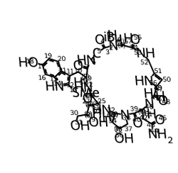 CC[C@H](C)[C@@H]1NC(=O)CNC(=O)[C@@H](Cc2c(SC)[nH]c3cc(O)ccc23)NC(=O)[C@H]([C@@H](C)[C@@H](O)CO)N[C@@H]2C[C@@H](O)CN2C(=O)[C@H](CC(N)=O)NC(=O)[C@H]2C=C(CNC1=O)N2